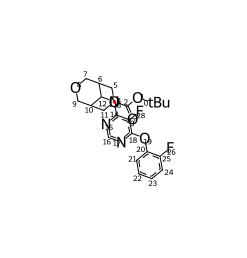 CC(C)(C)OC(=O)N1CC2COCC(C1)C2Oc1ncnc(Oc2ccccc2F)c1F